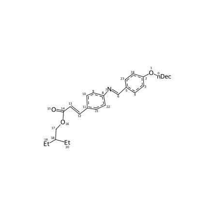 CCCCCCCCCCOc1ccc(C=Nc2ccc(C=CC(=O)OCC(CC)CC)cc2)cc1